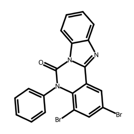 O=c1n(-c2ccccc2)c2c(Br)cc(Br)cc2c2nc3ccccc3n12